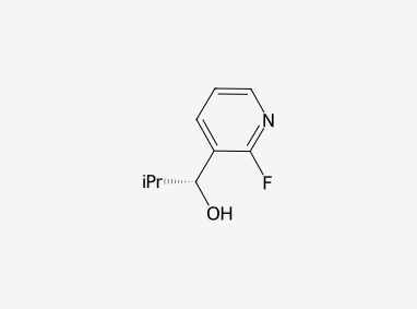 CC(C)[C@@H](O)c1cccnc1F